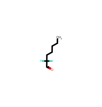 CCCCCC(F)(F)C=O